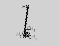 CCOC(=O)C(N)(CCCCCCCCCCCCCCCCO)C(=O)OCC